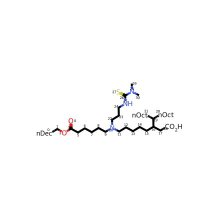 CCCCCCCCCCCOC(=O)CCCCCN(CCCCCC(CC(=O)O)C(CCCCCCCC)CCCCCCCC)CCCNC(=S)N(C)C